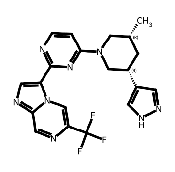 C[C@@H]1C[C@H](c2cn[nH]c2)CN(c2ccnc(-c3cnc4cnc(C(F)(F)F)cn34)n2)C1